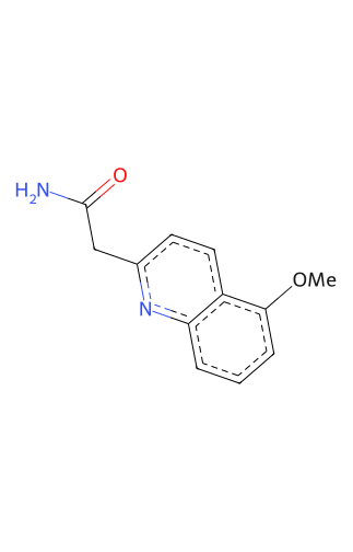 COc1cccc2nc(CC(N)=O)ccc12